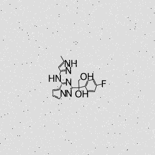 Cc1cc(Nc2nc(C(O)(CO)c3ccc(F)cc3)nn3cccc23)n[nH]1